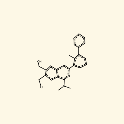 Cc1c(-c2ccccc2)cccc1-c1cc2cc(CO)c(CO)cc2c(N(C)C)n1